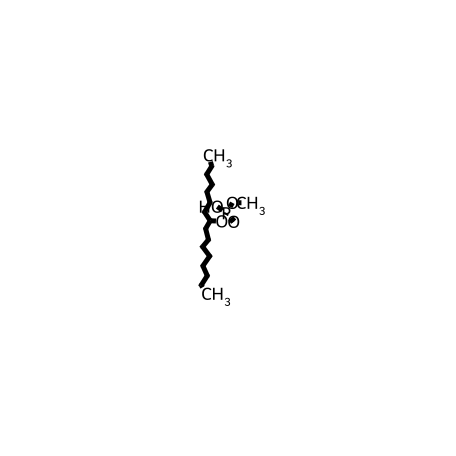 CCCCCCCCC(CCCCCCC)OP(=O)(O)OC